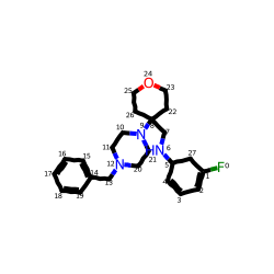 FC1=CC=CC(NCC2(N3CCN(Cc4ccccc4)CC3)CCOCC2)C1